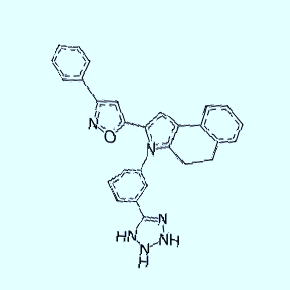 c1ccc(-c2cc(-c3cc4c(n3-c3cccc(C5=NNNN5)c3)CCc3ccccc3-4)on2)cc1